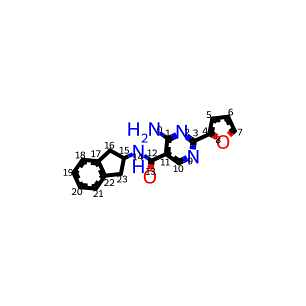 Nc1nc(-c2ccco2)ncc1C(=O)NC1Cc2ccccc2C1